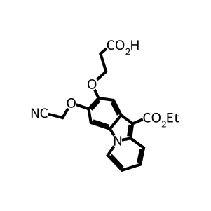 CCOC(=O)c1c2cc(OCCC(=O)O)c(OCC#N)cc2n2ccccc12